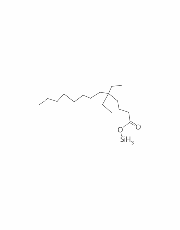 CCCCCCCCC(CC)(CC)CCCC(=O)O[SiH3]